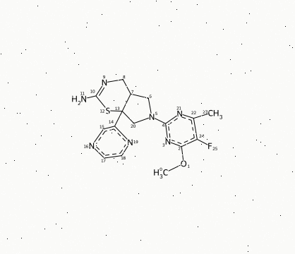 COc1nc(N2CC3CN=C(N)SC3(c3cnccn3)C2)nc(C)c1F